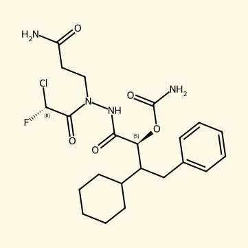 NC(=O)CCN(NC(=O)[C@@H](OC(N)=O)C(Cc1ccccc1)C1CCCCC1)C(=O)[C@H](F)Cl